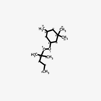 CCCC(C)(C)OOC1CC(C)CC(C)(C)C1